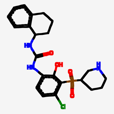 O=C(Nc1ccc(Cl)c(S(=O)(=O)C2CCCNC2)c1O)NC1CCCc2ccccc21